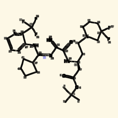 CC(C)(C)OC(=O)C[C@H](CCN1CCCC(F)(F)C1)NC(=O)C(=N)/N=C(\Nc1cccnc1C(F)(F)F)C1CCCC1